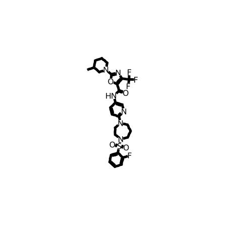 CC1CCCN(c2nc(C(F)(F)F)c(C(=O)Nc3ccc(N4CCCN(S(=O)(=O)c5ccccc5F)CC4)nc3)o2)C1